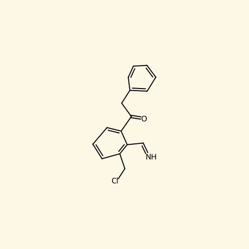 N=Cc1c(CCl)cccc1C(=O)Cc1ccccc1